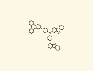 CC1(C)c2ccccc2-c2ccc(N(c3ccc(-c4ccc5c6ccccc6c6ccccc6c5c4)cc3)c3ccc(-c4cccc5c4oc4ccccc45)cc3)cc21